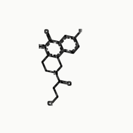 O=C(CCCl)N1CCc2[nH]c(=O)c3cc(F)ccc3c2C1